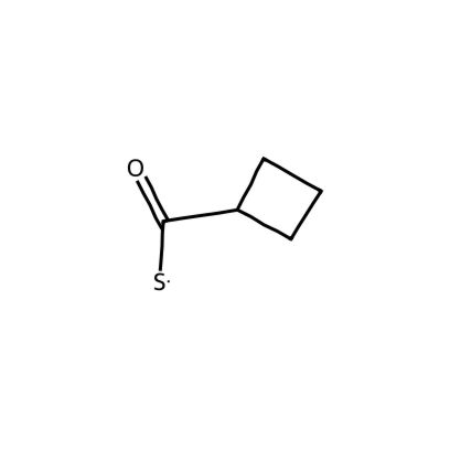 O=C([S])C1CCC1